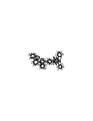 c1ccc(-c2nc(-c3ccccc3)nc(-c3ccc(-c4ccc(-c5cccc6c5oc5ccccc56)c5ccccc45)cc3)n2)cc1